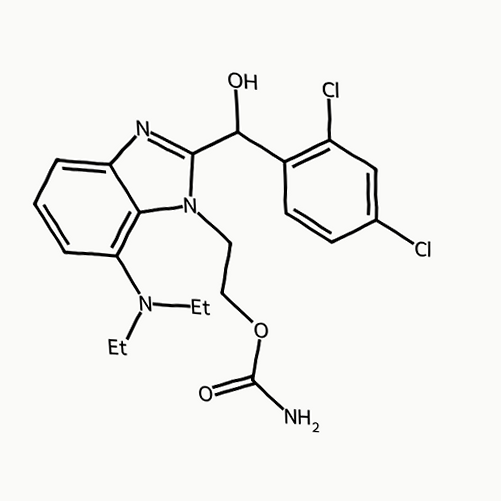 CCN(CC)c1cccc2nc(C(O)c3ccc(Cl)cc3Cl)n(CCOC(N)=O)c12